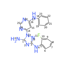 Nc1nc(Nc2ccccc2F)nn1-c1cc(Nc2ccccc2)ncn1